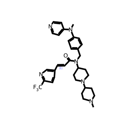 CN1CCC(N2CCC(N(Cc3ccc(N(C)c4ccncc4)cc3)C(=O)/C=C/c3ccc(C(F)(F)F)nc3)CC2)CC1